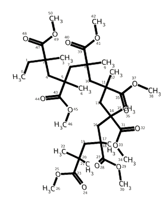 CCC(C)(CC(C)(CC(C)(CC(C)(CC(C)(CC(C)(CC(C)(C)C(=O)OC)C(=O)OC)C(=O)OC)C(=O)OC)C(=O)OC)C(=O)OC)C(=O)OC